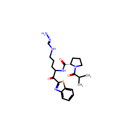 CC(C)C(=O)N1CCC[C@H]1C(=O)NC(CCCNC=NN)C(=O)c1nc2ccccc2s1